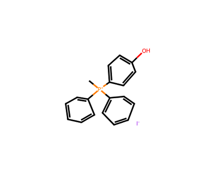 C[P+](c1ccccc1)(c1ccccc1)c1ccc(O)cc1.[I-]